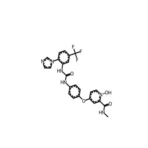 CNC(=O)c1cc(Oc2ccc(NC(=O)Nc3cc(C(F)(F)F)ccc3-n3ccnc3)cc2)cc[n+]1O